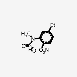 CCc1ccc([N+](=O)[O-])c(N(C)[SH](=O)=O)c1